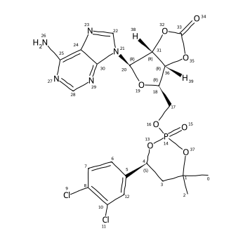 CC1(C)C[C@@H](c2ccc(Cl)c(Cl)c2)OP(=O)(OC[C@H]2O[C@@H](n3cnc4c(N)ncnc43)[C@@H]3OC(=O)O[C@@H]32)O1